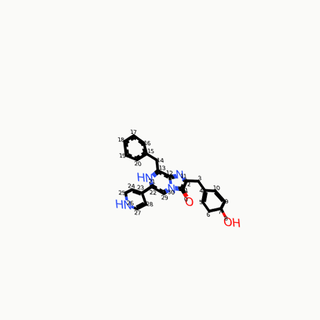 O=c1c(CC2=CCC(O)C=C2)nc2c(Cc3ccccc3)[nH]c(C3=CCNC=C3)cn1-2